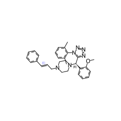 COc1ccccc1[C@H](c1nnnn1-c1c(C)cccc1C)N1CCN(C/C=C/c2ccccc2)CC1